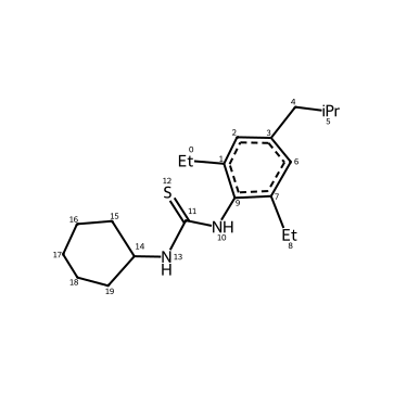 CCc1cc(CC(C)C)cc(CC)c1NC(=S)NC1CCCCC1